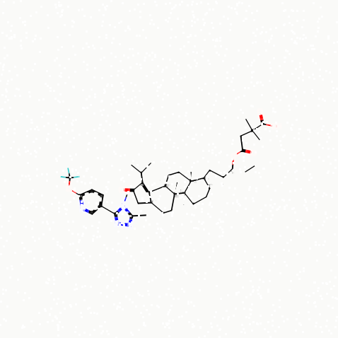 CC[C@H](CC[C@@]1(C)[C@H](C)CC[C@]2(C)[C@@H]1CC[C@@H]1C3=C(C(C)C)C(=O)C[C@]3(Cc3nnc(-c4ccc(OC(F)(F)F)nc4)n3C)CC[C@]12C)OC(=O)CC(C)(C)C(=O)O